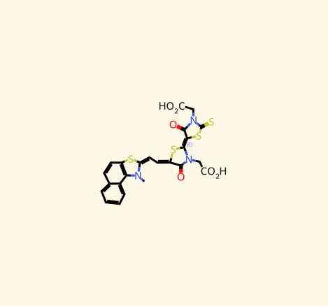 CN1C(=CC=c2s/c(=C3/SC(=S)N(CC(=O)O)C3=O)n(CC(=O)O)c2=O)Sc2ccc3ccccc3c21